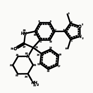 Cc1noc(C)c1-c1ccc2c(c1)C(c1ccccc1)(N1CCCC(N)C1)C(=O)N2